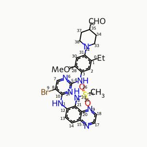 CCc1cc(Nc2ncc(Br)c(Nc3ccc4nccnc4c3NS(C)(=O)=O)n2)c(OC)cc1N1CCC(C=O)CC1